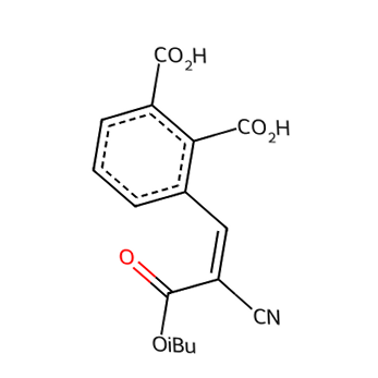 CC(C)COC(=O)C(C#N)=Cc1cccc(C(=O)O)c1C(=O)O